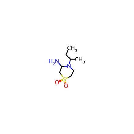 CCC(C)N1CCS(=O)(=O)CC1N